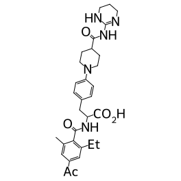 CCc1cc(C(C)=O)cc(C)c1C(=O)NC(Cc1ccc(N2CCC(C(=O)NC3=NCCCN3)CC2)cc1)C(=O)O